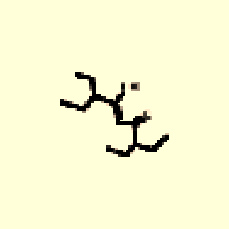 CCC(CC)C(=O)C=C(O)C(CC)CC